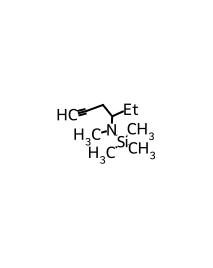 C#CCC(CC)N(C)[Si](C)(C)C